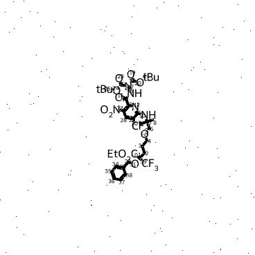 CCOC(=O)C(CCCOCC(C)(C)Nc1nc(C(=O)NN(C(=O)OC(C)(C)C)C(=O)OC(C)(C)C)c([N+](=O)[O-])cc1C(F)(F)F)(OCc1ccccc1)C(F)(F)F